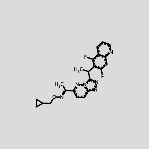 C/C(=N\OCC1CC1)c1ccc2nnc(C(C)c3c(F)cc4ncccc4c3F)n2n1